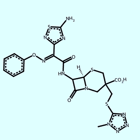 Cn1nnnc1SCC1(C(=O)O)CS[C@@H]2C(NC(=O)C(=NOc3ccccc3)c3nsc(N)n3)C(=O)N2C1